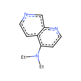 CCN(CC)c1ccnc2cnccc12